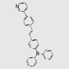 C(=C\c1ccc(N(c2ccccc2)c2ccccc2)cc1)/c1ccc(-c2cccnc2)cc1